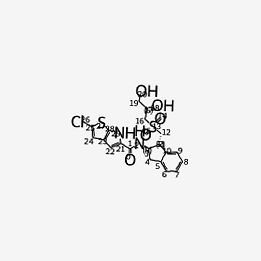 O=C(N[C@@H]1Cc2ccccc2[C@H]1CS(=O)(=O)C[C@@H](O)CO)c1cc2cc(Cl)sc2[nH]1